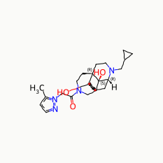 Cc1ccnn1CC(=O)N1CC[C@]23CCN(CC4CC4)[C@H](Cc4ccc(O)cc42)[C@]3(O)CC1